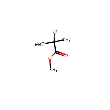 COC(C)(Cl)C(=O)O[SiH3]